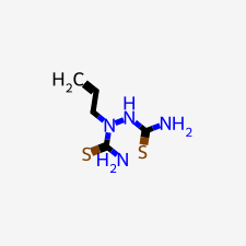 C=CCN(NC(N)=S)C(N)=S